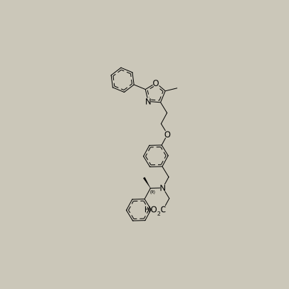 Cc1oc(-c2ccccc2)nc1CCOc1cccc(CN(CC(=O)O)[C@H](C)c2ccccc2)c1